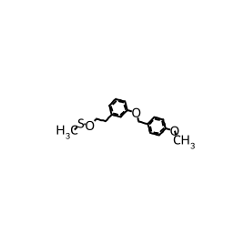 COc1ccc(COc2cccc(CCOSC)c2)cc1